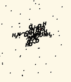 CC(=O)N[C@@H](CCN)C(=O)N[C@H](C(=O)N[C@@H](C)C(=O)N[C@@H](CCCCN)C(=O)N[C@@H](C)B1O[C@@H]2C[C@@H]3C[C@@H](C3(C)C)[C@]2(C)O1)[C@@H](C)O